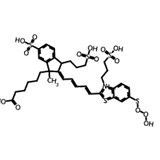 CC1(CCCCCC(=O)O)/C(=C/C=C/C=C/c2sc3cc(SOOO)ccc3[n+]2CCCS(=O)(=O)O)C(CCCS(=O)(=O)O)c2ccc(S(=O)(=O)O)cc21